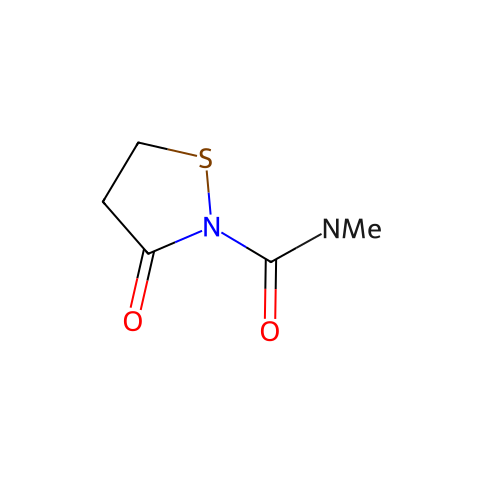 CNC(=O)N1SCCC1=O